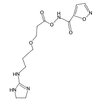 O=C(CCOCCCNC1=NCCN1)ONC(=O)c1ccno1